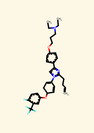 C=CCCc1nc(-c2ccc(OCCCN(CC)CC)cc2)cn1C1=CCC(Oc2ccc(F)c(C(F)(F)F)c2)C=C1